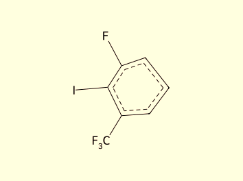 Fc1cccc(C(F)(F)F)c1I